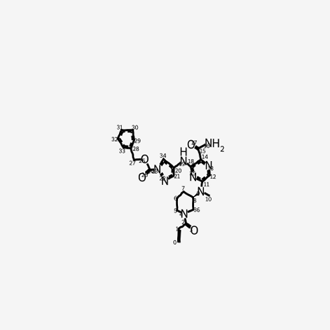 C=CC(=O)N1CCC[C@@H](N(C)c2cnc(C(N)=O)c(Nc3cnn(C(=O)OCc4ccccc4)c3)n2)C1